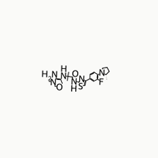 C[C@H]1CCCN1c1ccc(-c2csc(NC(=O)C(C)(C)NC3=C(N)N(C)COC3)n2)cc1F